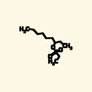 CCCCCCC(CC)OS(=O)(=O)CC